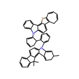 CC1C=c2c(c3c4c(ccc3n2-c2ccccc2C2CC=CC=C2n2c3ccccc3c3c5sc6c(c5ccc32)CC=CC=C6)-c2ccccc2C4(C)C)=CC1